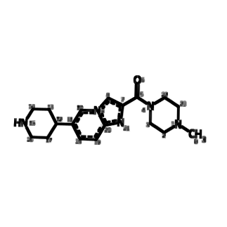 CN1CCN(C(=O)c2cn3cc(C4CCNCC4)ccc3n2)CC1